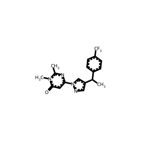 Cc1nc(-n2cc(C(C)c3ccc(C(F)(F)F)cc3)cn2)cc(=O)n1C